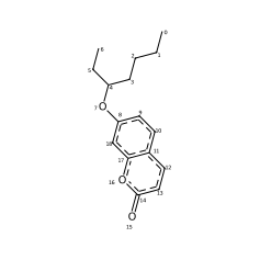 CCCCC(CC)Oc1ccc2ccc(=O)oc2c1